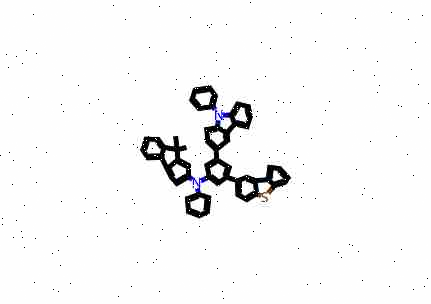 CC1(C)c2ccccc2-c2ccc(N(c3ccccc3)c3cc(-c4ccc5sc6ccccc6c5c4)cc(-c4ccc5c(c4)c4ccccc4n5-c4ccccc4)c3)cc21